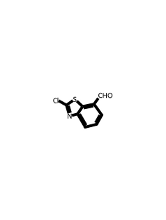 O=Cc1cccc2nc(Cl)sc12